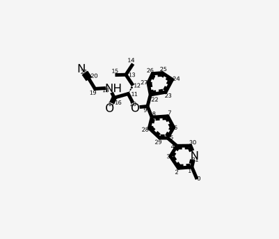 Cc1ccc(-c2ccc(C(O[C@@H](CC(C)C)C(=O)NCC#N)c3ccccc3)cc2)cn1